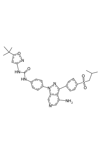 CC(C)CS(=O)(=O)c1ccc(-c2nn(-c3ccc(NC(=O)Nc4cc(C(C)(C)C)on4)cc3)c3cncc(N)c23)cc1